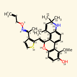 C=CCO/N=C(\C)c1ccsc1/C=C1\Oc2ccc(O)c(OC)c2-c2ccc3c(c21)C(C)=CC(C)(C)N3